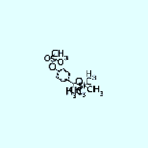 CC(O[Si](C)(C)C)c1ccc(OS(C)(=O)=O)cc1